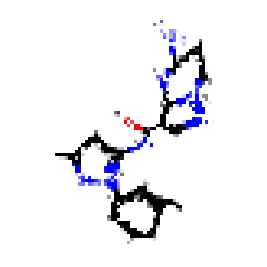 Cc1cccc(-n2nc(C)cc2NC(=O)c2cnn3ccc(N)nc23)c1